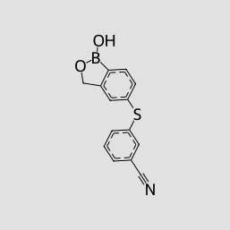 N#Cc1cccc(Sc2ccc3c(c2)COB3O)c1